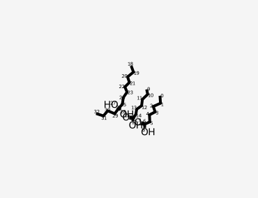 CCCCCCC(=O)O.CCCCCCC(=O)O.CCCCCCCCC(O)(O)CCCC